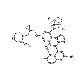 C#Cc1c(F)ccc2cc(O)cc(-c3cc4nc(OCC5(CN6CCOC[C@@H]6C)CC5)nc(N5C[C@H]6CC[C@@H](C5)N6)c4n4ccnc34)c12